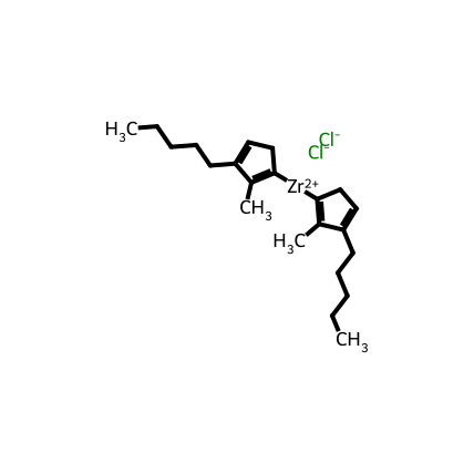 CCCCCC1=CC[C]([Zr+2][C]2=C(C)C(CCCCC)=CC2)=C1C.[Cl-].[Cl-]